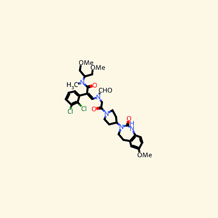 COCC(COC)N(C)C(=O)/C(=C\N(C=O)CC(=O)N1CCC(N2CCc3cc(OC)ccc3NC2=O)CC1)c1cccc(Cl)c1Cl